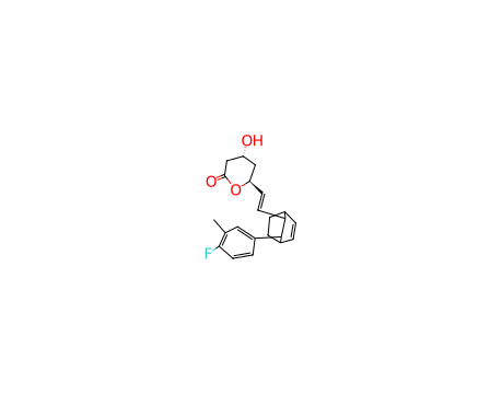 Cc1cc(C2C3C=CC(CC3)C2/C=C/[C@@H]2C[C@@H](O)CC(=O)O2)ccc1F